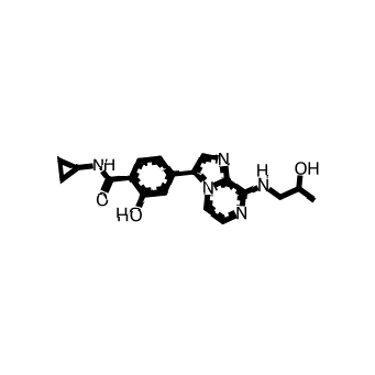 CC(O)CNc1nccn2c(-c3ccc(C(=O)NC4CC4)c(O)c3)cnc12